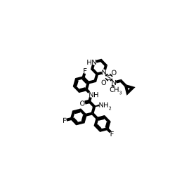 CN(CC1CC1)S(=O)(=O)N1CCNCC1Cc1c(F)cccc1NC(=O)[C@@H](N)C(c1ccc(F)cc1)c1ccc(F)cc1